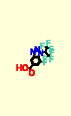 O=C(O)c1cc(F)c2c(c1)nnn2C(C(F)(F)F)C(F)(F)F